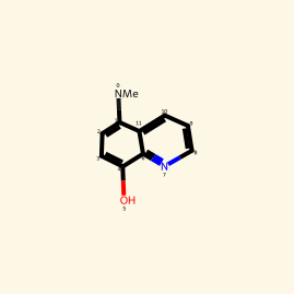 CNc1ccc(O)c2ncccc12